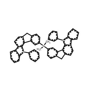 C[Si](C)(c1ccc2c(c1)-c1c(ccc3c4ccccc4n(-c4ccccc4)c13)C2)c1ccc2c(c1)-c1c(ccc3c4ccccc4n(-c4ccccc4)c13)C2